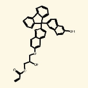 C=CC(=O)OCC(O)COc1ccc2cc(C3(c4ccc5cc(O)ccc5c4)c4ccccc4-c4ccccc43)ccc2c1